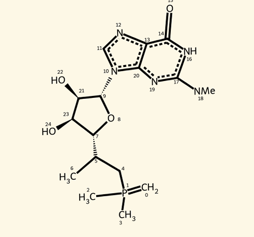 C=P(C)(C)CC(C)[C@H]1O[C@@H](n2cnc3c(=O)[nH]c(NC)nc32)[C@H](O)[C@@H]1O